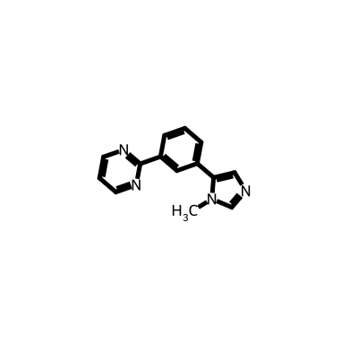 Cn1cncc1-c1cccc(-c2ncccn2)c1